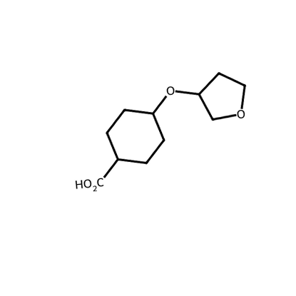 O=C(O)C1CCC(OC2CCOC2)CC1